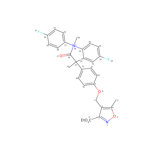 CCOC(=O)c1noc(C)c1COc1ccc(C(C)(C)C(=O)[N+](C)(c2ccc(F)cc2)c2ccc(F)cc2)cc1